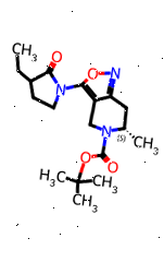 CCC1CCN(c2onc3c2CN(C(=O)OC(C)(C)C)[C@@H](C)C3)C1=O